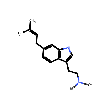 CCCN(CC)CCc1c[nH]c2cc(CC=C(C)C)ccc12